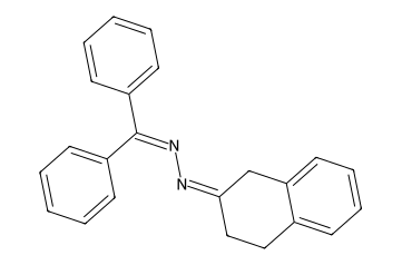 c1ccc(C(=NN=C2CCc3ccccc3C2)c2ccccc2)cc1